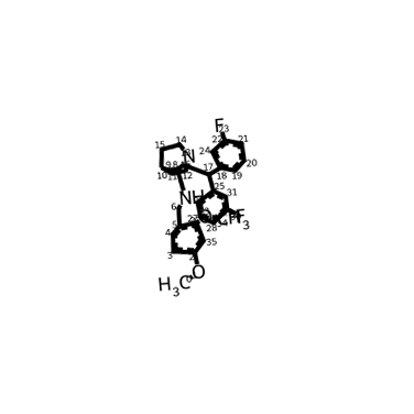 COc1ccc(CNC2CC3CCN(CC3)C2C(c2cccc(F)c2)c2cccc(F)c2)c(OC)c1